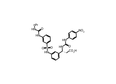 CCCNC(=O)Nc1cccc(S(=O)(=O)Nc2cccc([C@@H](CC(=O)O)NC(=O)Nc3ccc([N+](=O)[O-])cc3)c2)c1